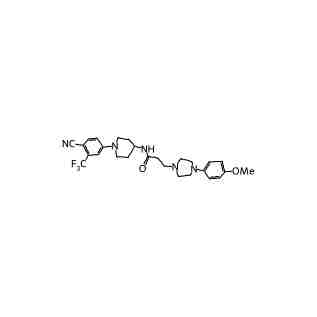 COc1ccc(N2CCN(CCC(=O)NC3CCN(c4ccc(C#N)c(C(F)(F)F)c4)CC3)CC2)cc1